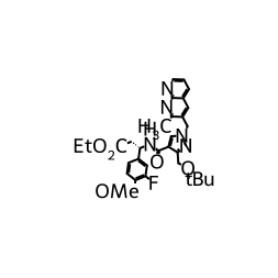 CCOC(=O)C[C@H](NC(=O)c1cn(Cc2cc3cccnc3nc2C)nc1COC(C)(C)C)c1ccc(OC)c(F)c1